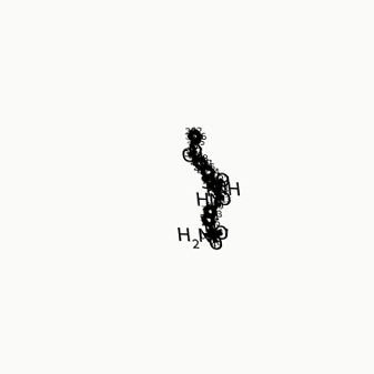 Nc1c(N2CCc3ccc(CNC(=O)c4nc5sc6c(c5c(=O)[nH]4)CCC4(CCN(C(=O)OCc5ccccc5)CC4)C6)cc3C2)c(=O)c1=O